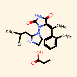 CCC(=O)O.CCCCC(CC)CC1NCCN1N1C(=O)NC(=O)C1=C(OC)c1ccccc1OC